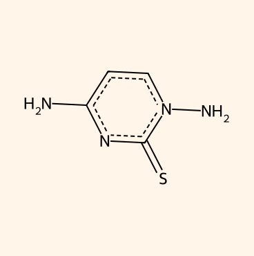 Nc1ccn(N)c(=S)n1